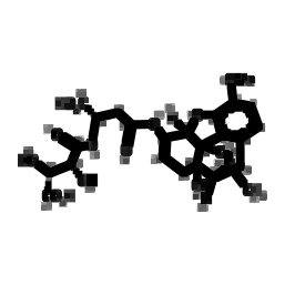 COc1ccc2c3c1O[C@H]1C(OC(=O)C[C@H](OC(=O)[C@H](O)[C@@H](O)C(=O)O)C(=O)O)=CC[C@@]4(O)[C@@H](C2)N(C)CC[C@]314